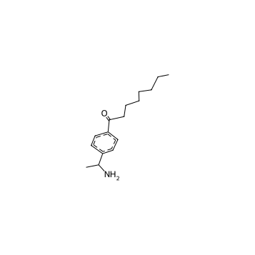 CCCCCCCC(=O)c1ccc(C(C)N)cc1